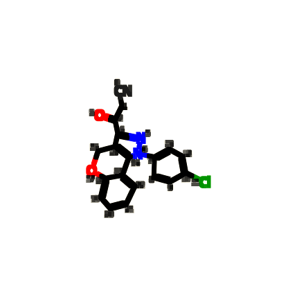 N#CCC(=O)c1nn(-c2ccc(Cl)cc2)c2c1COc1ccccc1-2